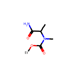 CCOC(=O)N(C)C(C)C(N)=O